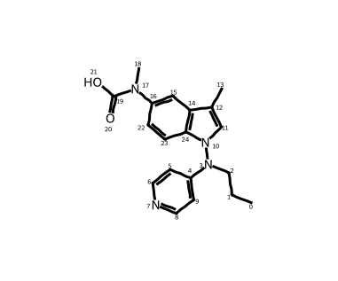 CCCN(c1ccncc1)n1cc(C)c2cc(N(C)C(=O)O)ccc21